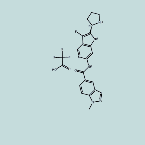 Cn1ncc2cc(C(=O)Nc3cc4[nH]c([C@H]5CCCN5)c(F)c4cn3)ccc21.O=C(O)C(F)(F)F